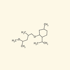 COC(C)CC(C)COC1CC(C)CCC1C(C)C